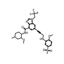 COc1ccc(S(C)(=O)=O)cc1NCC#Cc1cc(C(=O)NC2CCN(C)CC2OC)c2ncn(CC(F)(F)F)c2c1